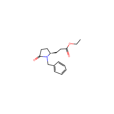 CCOC(=O)CC[C@@H]1CCC(=O)N1Cc1ccccc1